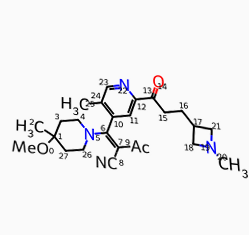 COC1(C)CCN(/C(=C(\C#N)C(C)=O)c2cc(C(=O)CCC3CN(C)C3)ncc2C)CC1